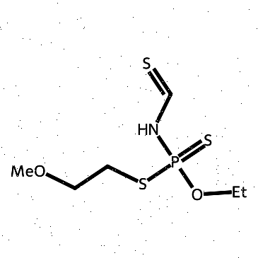 CCOP(=S)(NC=S)SCCOC